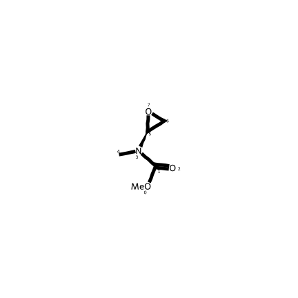 COC(=O)N(C)[C@@H]1CO1